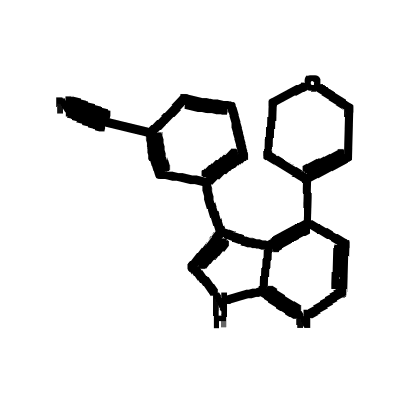 N#Cc1cccc(-c2c[nH]c3nccc(C4=CCOCC4)c23)c1